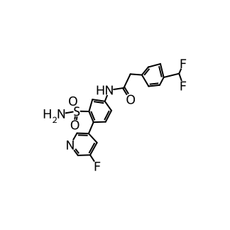 NS(=O)(=O)c1cc(NC(=O)Cc2ccc(C(F)F)cc2)ccc1-c1cncc(F)c1